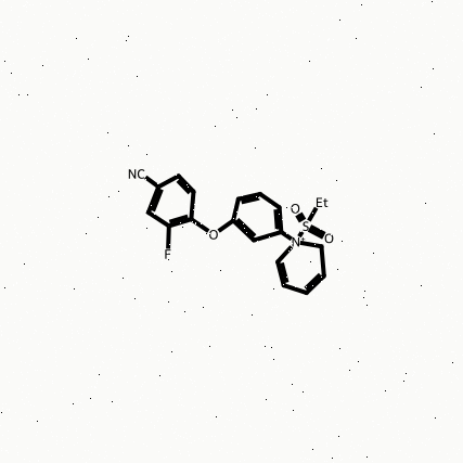 CCS(=O)(=O)[N+]1(c2cccc(Oc3ccc(C#N)cc3F)c2)C=CC=CC1